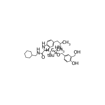 C[C@H](Cc1ccc2[nH]c(C(=O)NCC3CCCCC3)cc2c1)NC[C@@H](O[Si](C)(C)C(C)(C)C)c1ccc(O)c(CO)c1